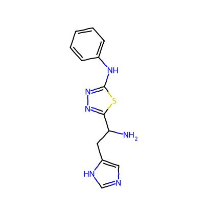 NC(Cc1cnc[nH]1)c1nnc(Nc2ccccc2)s1